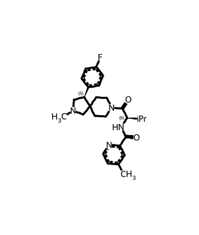 Cc1ccnc(C(=O)N[C@@H](C(=O)N2CCC3(CC2)CN(C)C[C@H]3c2ccc(F)cc2)C(C)C)c1